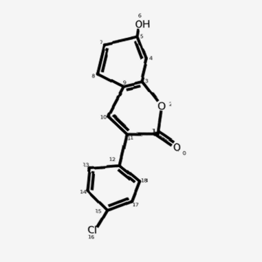 O=c1oc2cc(O)ccc2cc1-c1ccc(Cl)cc1